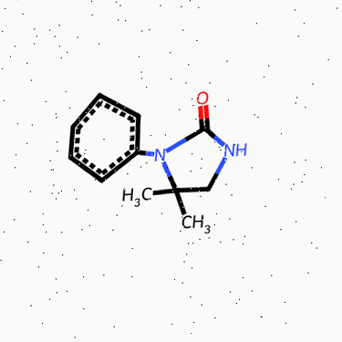 CC1(C)CNC(=O)N1c1ccccc1